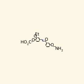 CCOc1cc(/C=C/C(=O)c2cccc(OCCN)c2)ccc1OCC(=O)O